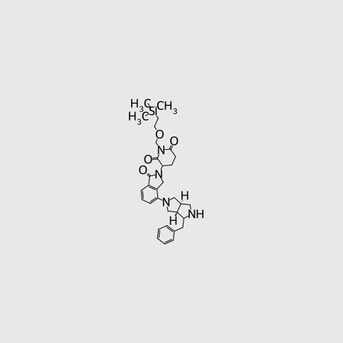 C[Si](C)(C)CCOCN1C(=O)CCC(N2Cc3c(cccc3N3C[C@H]4CNC(Cc5ccccc5)[C@@H]4C3)C2=O)C1=O